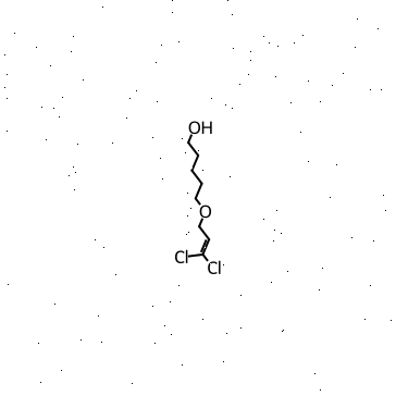 OCCCCCOCC=C(Cl)Cl